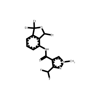 CCC1OC(CC)(CC)c2cccc(NC(=S)c3cn(C)nc3C(F)F)c21